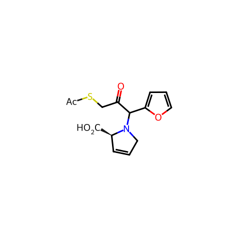 CC(=O)SCC(=O)C(c1ccco1)N1CC=C[C@H]1C(=O)O